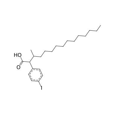 CCCCCCCCCCCCC(C)C(C(=O)O)c1ccc(I)cc1